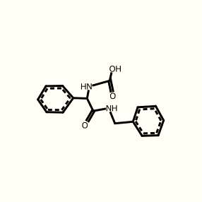 O=C(O)NC(C(=O)NCc1ccccc1)c1ccccc1